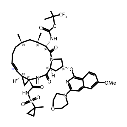 COc1ccc2c(O[C@@H]3C[C@H]4C(=O)N[C@]5(C(=O)NS(=O)(=O)C6(C)CC6)C[C@H]5/C=C\CC[C@@H](C)C[C@@H](C)[C@H](NC(=O)OC(C)(C)C(F)(F)F)C(=O)N4C3)nc(N3CCOCC3)cc2c1